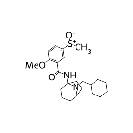 COc1ccc([S+](C)[O-])cc1C(=O)NC12CCCC(CC1)N2CC1CCCCC1